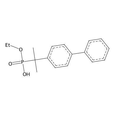 CCOP(=O)(O)C(C)(C)c1ccc(-c2ccccc2)cc1